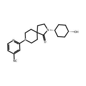 [C-]#[N+]c1ccnc(N2CCC3(CC2)CCN([C@H]2CC[C@@H](O)CC2)C3=O)c1